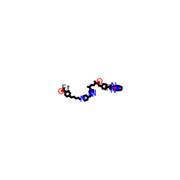 CCC(=O)C1CCC(CCCCCN2CCC(Cn3cc(C(C)CCC(C)C(=O)CC4CCC(c5cnc(N6C7CCC6CN(C(C)C)C7)nc5)CC4)cn3)CC2)CC1